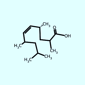 CC(C)CC(C)/C=C\[C@H](C)CC(C)C(=O)O